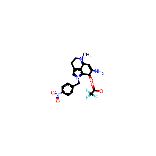 C[N+]1=C2C=C(N)C(=O)c3c2c(cn3Cc2ccc([N+](=O)[O-])cc2)CC1.O=C([O-])C(F)(F)F